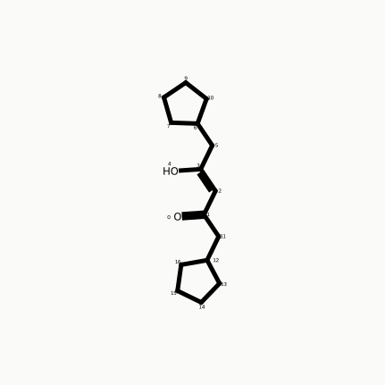 O=C(/C=C(\O)CC1CCCC1)CC1CCCC1